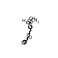 CC(C)(C)OC(=O)N1CCC(CCCOC(=O)C=Cc2ccncc2)CC1